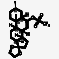 C[C@H]1CC[C@@]2(C)[C@H](C1)C(OS(=O)(=O)C(F)(F)F)=C[C@@H]1[C@@H]2CC[C@@]2(C)[C@H]1CCC21OCCO1